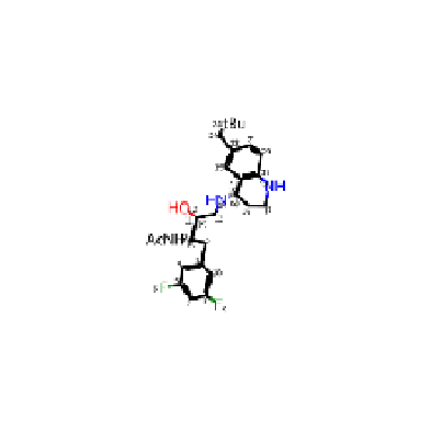 CC(=O)N[C@@H](Cc1cc(F)cc(F)c1)[C@@H](O)CN[C@H]1CCNc2ccc(CC(C)(C)C)cc21